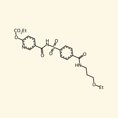 CCOCCCNC(=O)c1ccc(S(=O)(=O)NC(=O)c2ccc(OC(=O)OCC)nc2)cc1